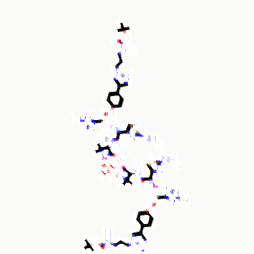 C[n+]1cc(-c2ccc(OC[C@H](O/N=C(\C(=O)N[C@@H]3C(=O)N(OS(=O)(=O)ON4C(=O)[C@@H](NC(=O)/C(=N\O[C@@H](COc5ccc(-c6cn(CCCNC(=O)OC(C)(C)C)[n+](C)c6)cc5)c5nn[nH]n5)c5csc(N)n5)C4(C)C)C3(C)C)c3csc(N)n3)c3nn[nH]n3)cc2)cn1CCCNC(=O)OC(C)(C)C